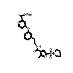 CNC(=O)c1cc(Oc2cccc(CCNC(=O)c3cc(S(=O)(=O)N4CCCC4)oc3C)c2)ccn1